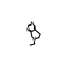 CCN1CCc2cncnc2C1